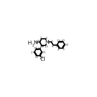 N[C@@H]1CCN(CCc2ccccc2)C[C@@H]1c1cccc(Cl)c1